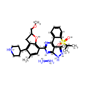 COCC1Cc2c(c(-c3nc(-c4ccccc4S(=O)(=O)C(C)C)c4c(C)n[nH]c4n3)cc(C)c2C2CCNCC2)O1.NN